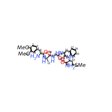 COc1ccc(CC(N)C(=O)N[C@H](C)C(=O)NCC(=O)NC(Cc2ccccc2)C(=O)NC(CCSC)C(N)=O)cc1OC